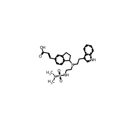 CN(C)S(=O)(=O)NCCN(CCc1c[nH]c2ccccc12)C1CCc2cc(C=CC(=O)O)ccc21